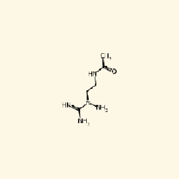 CC(=O)NCCN(N)C(=N)N